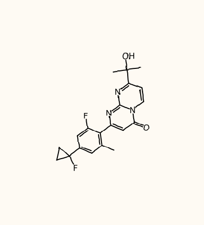 Cc1cc(C2(F)CC2)cc(F)c1-c1cc(=O)n2ccc(C(C)(C)O)nc2n1